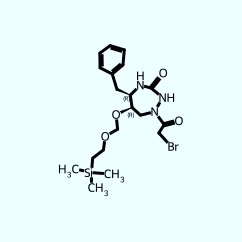 C[Si](C)(C)CCOCO[C@@H]1CN(C(=O)CBr)NC(=O)N[C@@H]1Cc1ccccc1